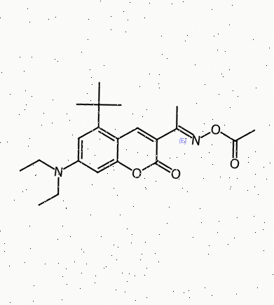 CCN(CC)c1cc(C(C)(C)C)c2cc(/C(C)=N/OC(C)=O)c(=O)oc2c1